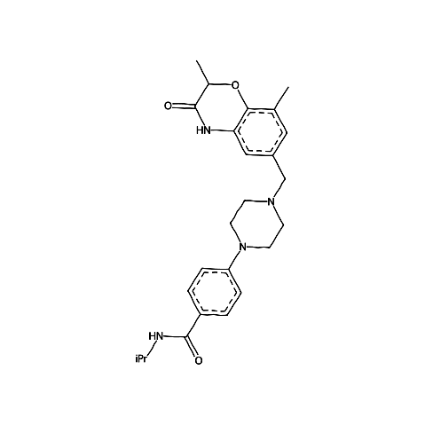 Cc1cc(CN2CCN(c3ccc(C(=O)NC(C)C)cc3)CC2)cc2c1OC(C)C(=O)N2